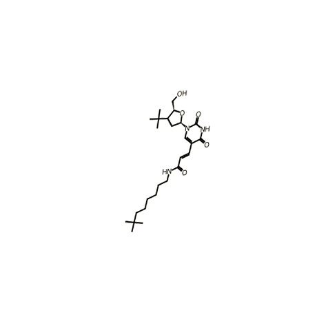 CC(C)(C)CCCCCCNC(=O)/C=C/c1cn([C@H]2CC(C(C)(C)C)[C@@H](CO)O2)c(=O)[nH]c1=O